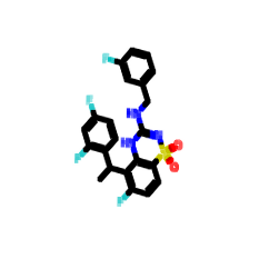 CC(c1ccc(F)cc1F)c1c(F)ccc2c1NC(NCc1cccc(F)c1)=NS2(=O)=O